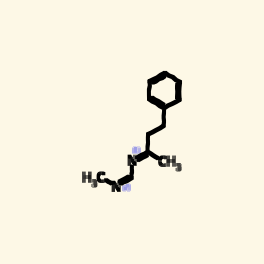 C/N=C\N=C(/C)CCc1ccccc1